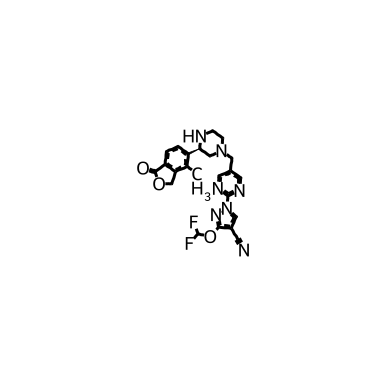 Cc1c([C@@H]2CN(Cc3cnc(-n4cc(C#N)c(OC(F)F)n4)nc3)CCN2)ccc2c1COC2=O